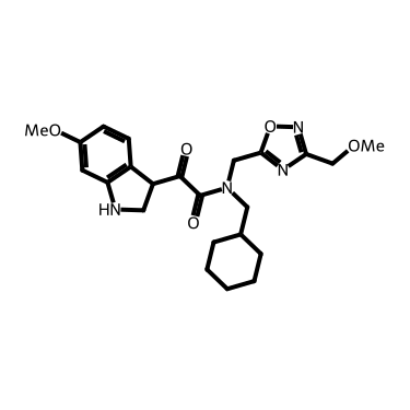 COCc1noc(CN(CC2CCCCC2)C(=O)C(=O)C2CNc3cc(OC)ccc32)n1